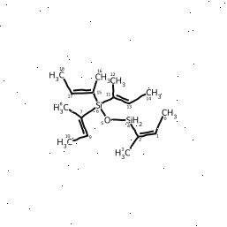 CC=C(C)[SiH2]O[Si](C(C)=CC)(C(C)=CC)C(C)=CC